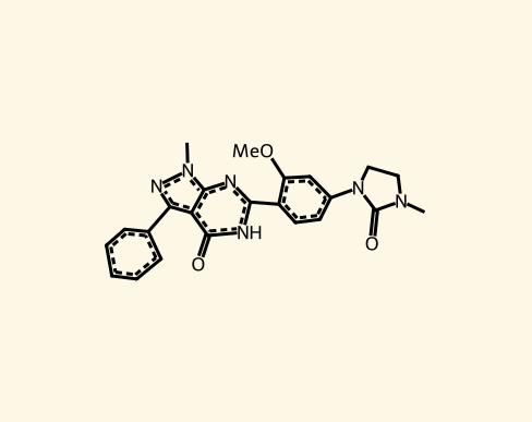 COc1cc(N2CCN(C)C2=O)ccc1-c1nc2c(c(-c3ccccc3)nn2C)c(=O)[nH]1